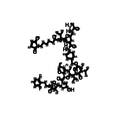 CC[C@H](C)[C@@H]([C@@H](CC(=O)N1C[C@@H](O)C[C@H]1[C@H](OC)[C@@H](C)C(=O)NCCc1c(F)cccc1F)OC)N(C)C(=O)[C@@H](NC(=O)[C@H](C(C)C)N(C)C(=O)OCc1ccc(NC(=O)[C@H](CCCNC(N)=O)NC(=O)[C@@H](NC(=O)CCCCCN2C(=O)C=CC2=O)C(C)C)cc1)C(C)C